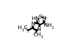 CCc1nc2c(nc1C)C(N)=NSN2